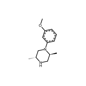 COc1cccc(N2C[C@@H](C)NC[C@@H]2C)c1